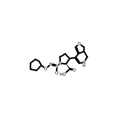 O=C(O)[C@@H]1C(C2=CNCC3COC=C23)CCN1/[N+]([O-])=N/OC1CCCCC1